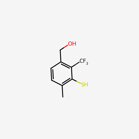 Cc1ccc(CO)c(C(F)(F)F)c1S